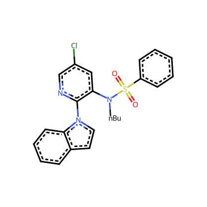 CCCCN(c1cc(Cl)cnc1-n1ccc2ccccc21)S(=O)(=O)c1ccccc1